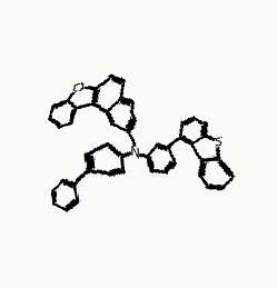 c1ccc(-c2ccc(N(c3cccc(-c4cccc5sc6ccccc6c45)c3)c3ccc4ccc5oc6ccccc6c5c4c3)cc2)cc1